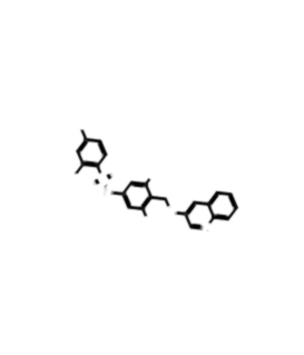 O=S(=O)(Nc1cc(Cl)c(COc2cnc3ccccc3c2)c(Cl)c1)c1ccc(Cl)cc1Cl